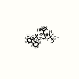 C[C@@H](C[C@H](CCOC(=O)C(C)(C)c1ccccc1-c1ccccc1)NC(=O)c1cnn[nH]1)C(=O)O